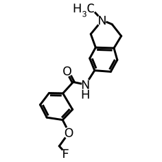 CN1CCc2ccc(NC(=O)c3cccc(OCF)c3)cc2C1